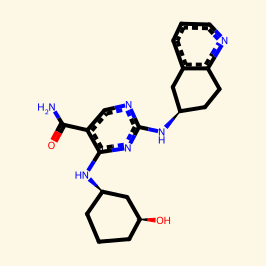 NC(=O)c1cnc(N[C@@H]2CCc3ncccc3C2)nc1N[C@@H]1CCC[C@H](O)C1